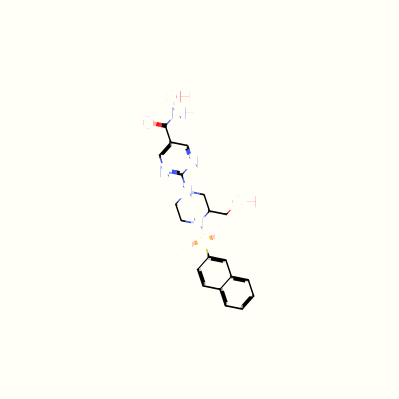 O=C(NO)c1cnc(N2CCN(S(=O)(=O)c3ccc4ccccc4c3)C(CO)C2)nc1